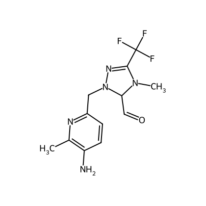 Cc1nc(CN2N=C(C(F)(F)F)N(C)C2C=O)ccc1N